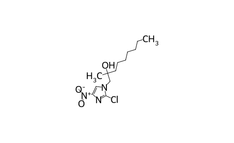 CCCCCCCC(C)(O)Cn1cc([N+](=O)[O-])nc1Cl